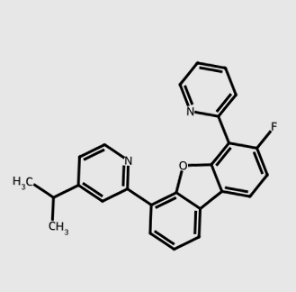 CC(C)c1ccnc(-c2cccc3c2oc2c(-c4ccccn4)c(F)ccc23)c1